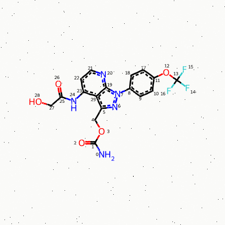 NC(=O)OCc1nn(-c2ccc(OC(F)(F)F)cc2)c2nccc(NC(=O)CO)c12